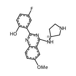 COc1ccc2nc(-c3cc(F)ccc3O)nc(N[C@H]3CCNC3)c2c1